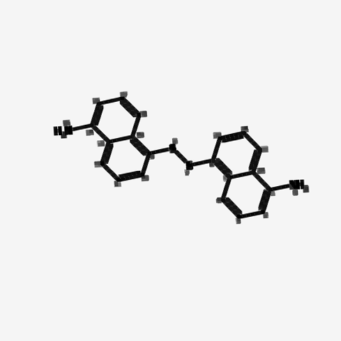 Nc1cccc2c(SSc3cccc4c(N)cccc34)cccc12